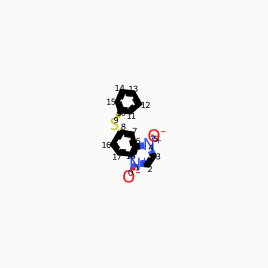 [O-][n+]1cc[n+]([O-])c2cc(Sc3ccccc3)ccc21